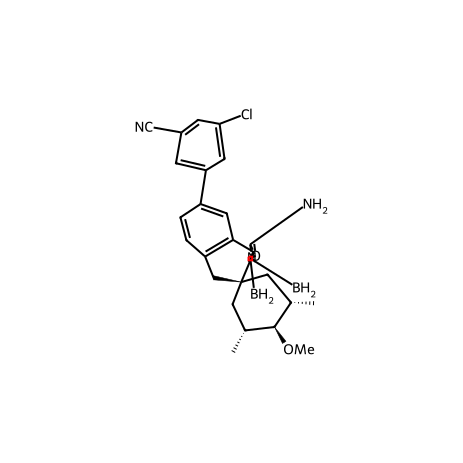 BC1(B)OC(N)=NC12c1cc(-c3cc(Cl)cc(C#N)c3)ccc1C[C@@]21C[C@@H](C)[C@H](OC)[C@@H](C)C1